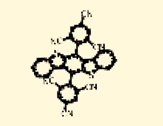 N#Cc1cc(C#N)c(-c2c3sc4ccccc4c3c(-c3c(C#N)cc(C#N)cc3C#N)c3sc4ccccc4c23)c(C#N)c1